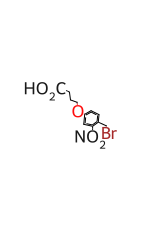 O=C(O)CCCOc1ccc(CBr)c([N+](=O)[O-])c1